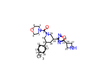 O=C(N1CCOCC1)N1CC(c2ccc(C(F)(F)F)cc2)CC(c2noc(C3CNC3)n2)C1